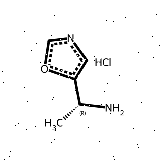 C[C@@H](N)c1cnco1.Cl